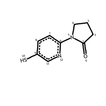 O=C1CCCN1c1ccc(S)cn1